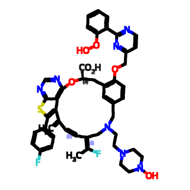 C=C1/C=C\C(=C(/C)F)CN(CCN2CCN(O)CC2)Cc2ccc(OCc3ccnc(-c4ccccc4OO)n3)c(c2)C[C@H](C(=O)O)Oc2ncnc3sc(-c4ccc(F)cc4)c1c23